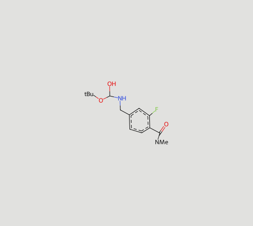 CNC(=O)c1ccc(CNC(O)OC(C)(C)C)cc1F